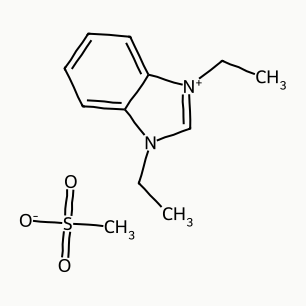 CCn1c[n+](CC)c2ccccc21.CS(=O)(=O)[O-]